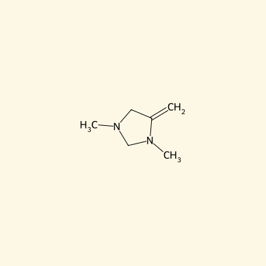 C=C1CN(C)CN1C